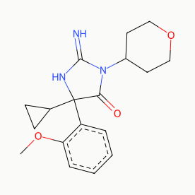 COc1ccccc1C1(C2CC2)NC(=N)N(C2CCOCC2)C1=O